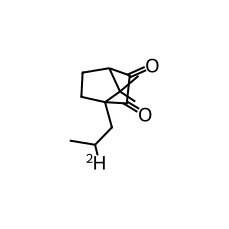 [2H]C(C)CC12CCC(C(=O)C1=O)C2(C)C